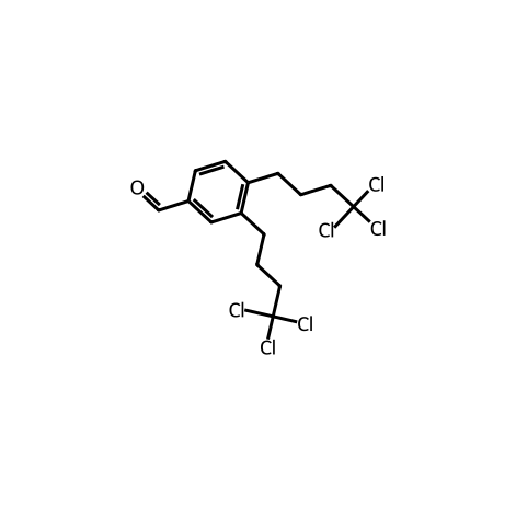 O=Cc1ccc(CCCC(Cl)(Cl)Cl)c(CCCC(Cl)(Cl)Cl)c1